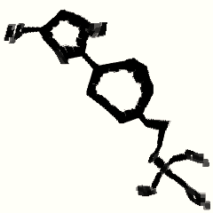 CC(C)(C)[Si](C)(C)OCc1ccc(-c2nc(C(F)(F)F)c[nH]2)cc1